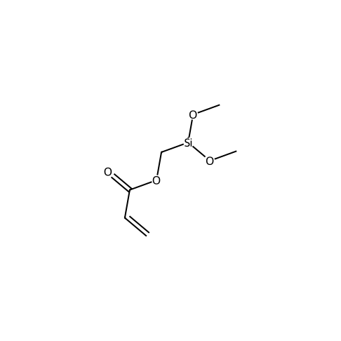 C=CC(=O)OC[Si](OC)OC